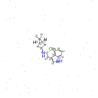 CC(CN[C@H]1C[C@@H]2[C@H](C1)C2(C)C)c1c[nH]c2cccc(Cl)c12